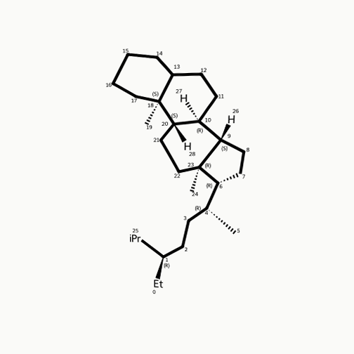 CC[C@H](CC[C@@H](C)[C@H]1CC[C@H]2[C@@H]3CCC4CCCC[C@]4(C)[C@H]3CC[C@]12C)C(C)C